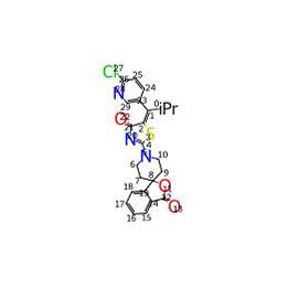 CC(C)C(=C1SC(N2CCC3(CC2)OC(=O)c2ccccc23)=NC1=O)c1ccc(Cl)nc1